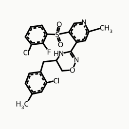 Cc1ccc(CC2CON=C(c3cc(C)ncc3S(=O)(=O)c3cccc(Cl)c3F)N2)c(Cl)c1